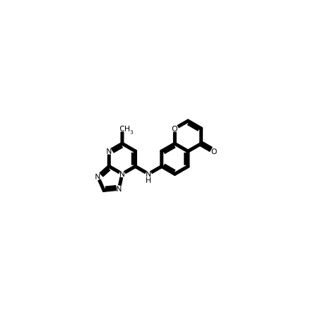 Cc1cc(Nc2ccc3c(=O)ccoc3c2)n2ncnc2n1